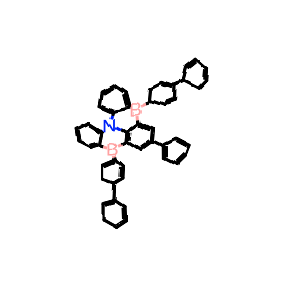 C1=CCC(C2=CCC(B3c4ccccc4N4c5ccccc5B(C5=CCC(C6=CCCC=C6)C=C5)c5cc(-c6ccccc6)cc3c54)C=C2)C=C1